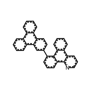 c1ccc2c(c1)c1ccccc1c1cc(-c3cccc4c5ncccc5c5ccccc5c34)ccc21